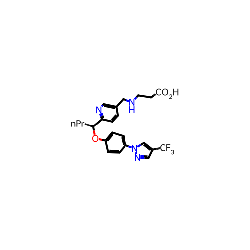 CCCC(Oc1ccc(-n2cc(C(F)(F)F)cn2)cc1)c1ccc(CNCCC(=O)O)cn1